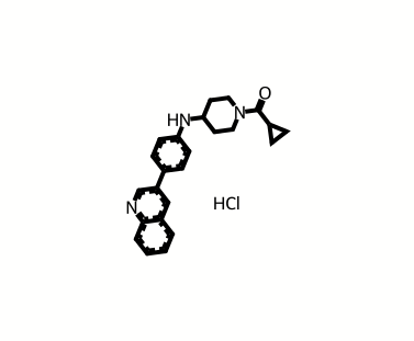 Cl.O=C(C1CC1)N1CCC(Nc2ccc(-c3cnc4ccccc4c3)cc2)CC1